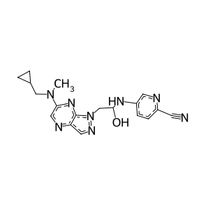 CN(CC1CC1)c1cnc2cnn(CC(O)Nc3ccc(C#N)nc3)c2n1